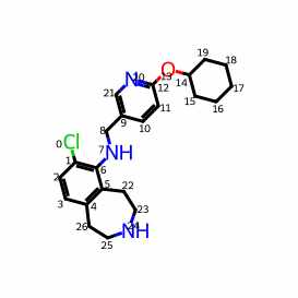 Clc1ccc2c(c1NCc1ccc(OC3CCCCC3)nc1)CCNCC2